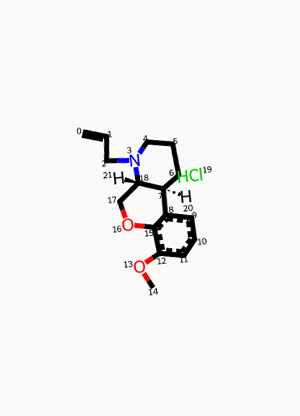 C=CCN1CCC[C@H]2c3cccc(OC)c3OC[C@@H]21.Cl